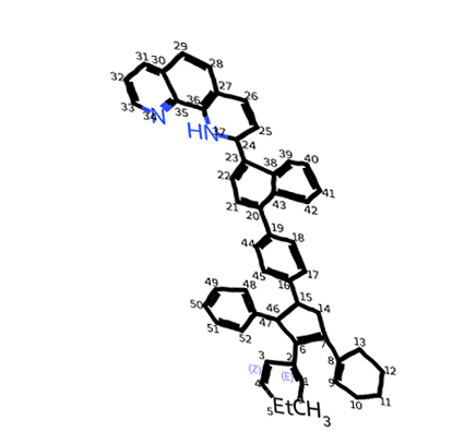 C/C=C(\C=C/CC)C1=C(C2=CCCCC2)CC(c2ccc(-c3ccc(C4C=Cc5ccc6cccnc6c5N4)c4ccccc34)cc2)C1c1ccccc1